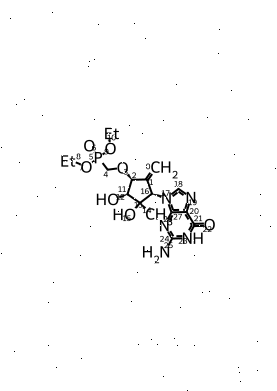 C=C1[C@H](OCP(=O)(OCC)OCC)[C@H](O)[C@@](C)(O)[C@@H]1n1cnc2c(=O)[nH]c(N)nc21